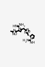 Cc1noc(C2CC(Cc3noc(C[C@@H]4CCCN4C(=N)N)n3)N2C(=N)N)n1